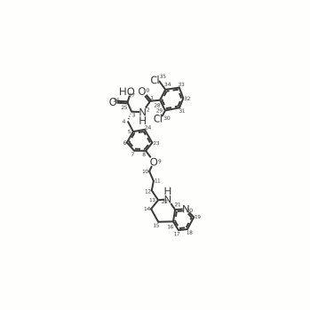 O=C(N[C@H](Cc1ccc(OCCCC2CCc3cccnc3N2)cc1)C(=O)O)c1c(Cl)cccc1Cl